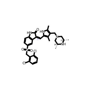 Cc1[nH]c(/C=C2\C(=O)Nc3ccc(S(=O)(=O)Cc4c(Cl)cccc4Cl)cc32)c(C)c1CN1C[C@@H](C)N[C@@H](C)C1